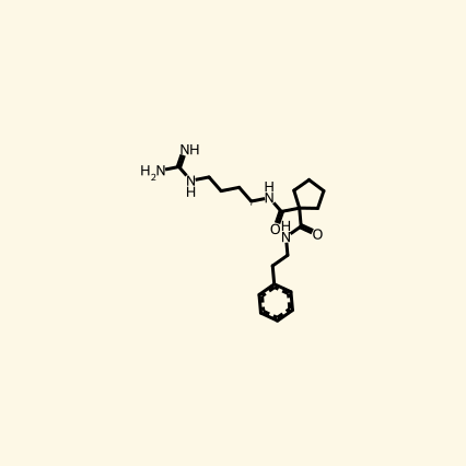 N=C(N)NCCC[CH]NC(=O)C1(C(=O)NCCc2ccccc2)CCCC1